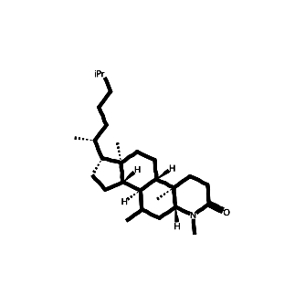 CC(C)CCC[C@@H](C)[C@H]1CC[C@H]2[C@@H]3C(C)C[C@H]4N(C)C(=O)CC[C@]4(C)[C@H]3CC[C@]12C